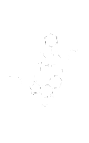 CCOCc1nc2c(N)nc3ccccc3c2n1C[C@@H](C)O[P@](=O)(N[C@H](C(=O)OC(C)(C)C)C(C)C)Oc1ccccc1